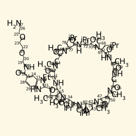 CC[C@@H]1NC(=O)[C@H]([C@H](O)[C@H](C)Cc2nc3cc(C(=O)NCCOCCOCCN)ccc3[nH]2)N(C)C(=O)[C@H](C(C)C)N(C)C(=O)[C@H](CC(C)C)N(C)C(=O)[C@H](CC(C)C)N(C)C(=O)CNC(=O)[C@H](C)NC(=O)[C@H](CC(C)C)N(C)C(=O)[C@H](C(C)C)NC(=O)[C@H](CC(C)C)N(C)C(=O)CN(C)C1=O